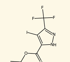 CCOC(=O)c1[nH]nc(C(F)(F)F)c1I